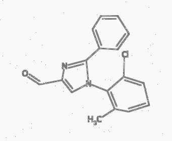 Cc1cccc(Cl)c1-n1cc(C=O)nc1-c1ccccc1